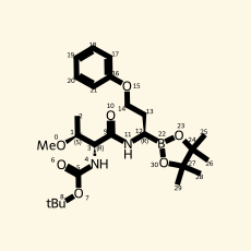 CO[C@@H](C)[C@@H](NC(=O)OC(C)(C)C)C(=O)N[C@@H](CCOc1ccccc1)B1OC(C)(C)C(C)(C)O1